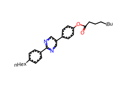 CCCCCCc1ccc(-c2ncc(-c3ccc(OC(=O)CCCC(C)CC)cc3)cn2)cc1